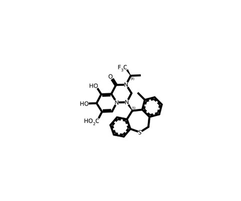 Cc1cccc2c1[C@H](N1CN([C@H](C)C(F)(F)F)C(=O)C3=C(O)C(O)C(C(=O)O)=CN31)c1ccccc1SC2